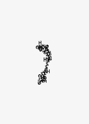 O=C1CCC(N2C(=O)c3ccc(NCCCCCCNC(=O)c4ccc(CN(C(=O)c5ccc6c(c5)OCC(=O)N6)C5CC5)cc4)cc3C2=O)C(=O)N1